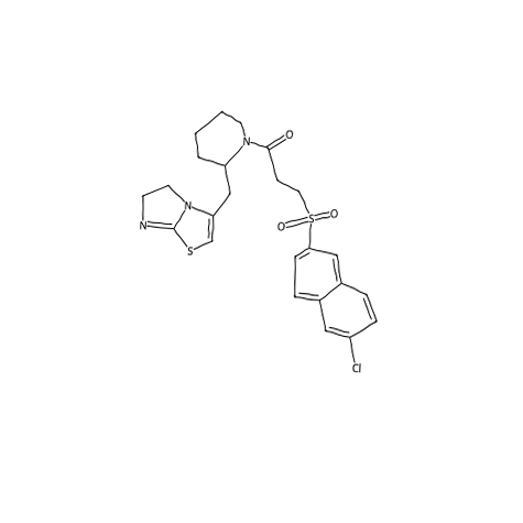 O=C(CCS(=O)(=O)c1ccc2cc(Cl)ccc2c1)N1CCCCC1CC1=CSC2=NCCN12